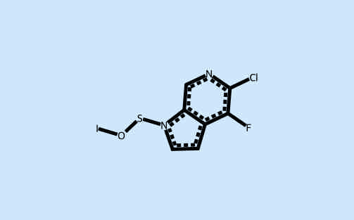 Fc1c(Cl)ncc2c1ccn2SOI